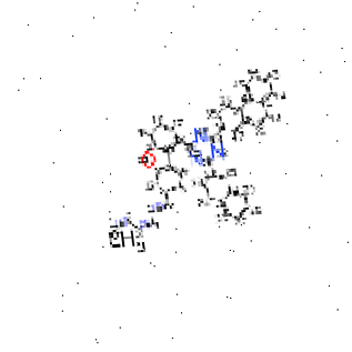 C\C=C/C=C\C=C\c1ccc2c(c1)oc1cccc(-c3nc(-c4ccc5ccccc5c4)nc(-c4ccc5c(ccc6ccccc65)c4)n3)c12